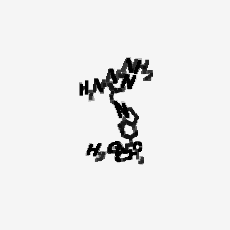 CN(C)C(=O)c1ccc2c(c1)CCN2Cc1cnc(N)nc1N